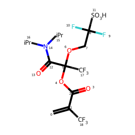 C=C(C(=O)OC(OCC(F)(F)S(=O)(=O)O)(C(=O)N(C(C)C)C(C)C)C(F)(F)F)C(F)(F)F